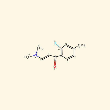 COc1ccc(C(=O)/C=C/N(C)C)c(F)c1